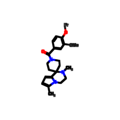 COc1cc(C(=O)N2CCC3(CC2)c2ccc(C)n2CCN3C)ccc1OC(C)C